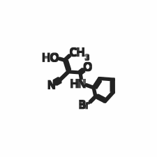 C/C(O)=C(/C#N)C(=O)Nc1ccccc1Br